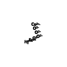 [Co+2].[Fe+2].[Hf+4].[O-2].[O-2].[O-2].[O-2]